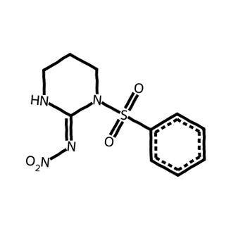 O=[N+]([O-])N=C1NCCCN1S(=O)(=O)c1ccccc1